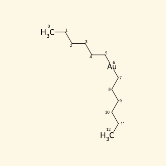 CCCCC[CH2][Au][CH2]CCCCC